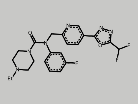 CCN1CCN(C(=O)N(Cc2ccc(-c3nnc(C(F)F)o3)cn2)c2cccc(F)c2)CC1